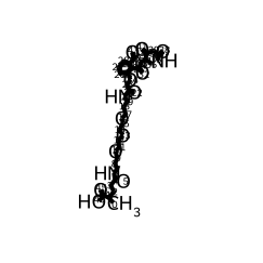 CC(CCC(=O)NCCCOCCOCCOCCCNC(=O)COc1cccc2c1C(=O)N(C1CNC(=O)CC1=O)C2=O)C(=O)O